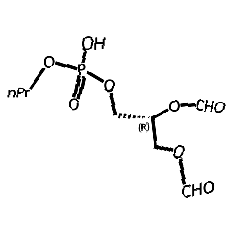 CCCOP(=O)(O)OC[C@@H](COC=O)OC=O